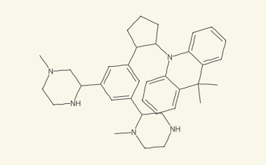 CN1CCNC(c2cc(C3CCCC3N3c4ccccc4C(C)(C)c4ccccc43)cc(C3CNCCN3C)c2)C1